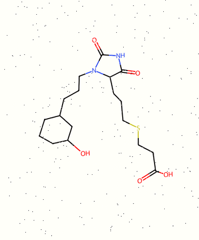 O=C(O)CCSCCCC1C(=O)NC(=O)N1CCCC1CCCC(O)C1